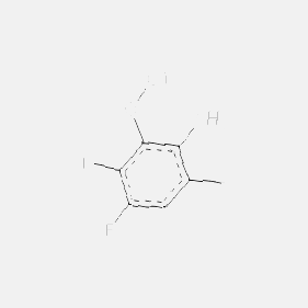 COc1c(C)c(F)cc(F)c1F